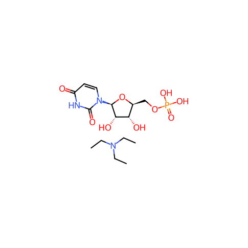 CCN(CC)CC.O=c1ccn([C@H]2O[C@@H](COP(=O)(O)O)[C@H](O)[C@@H]2O)c(=O)[nH]1